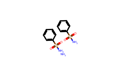 N.NS(=O)(=O)c1ccccc1.NS(=O)(=O)c1ccccc1